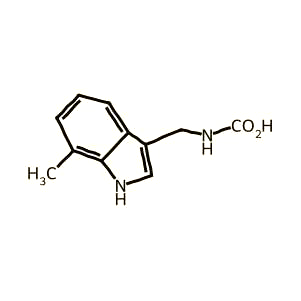 Cc1cccc2c(CNC(=O)O)c[nH]c12